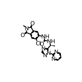 C[C@H](NC(=O)Nc1cc2c(cc1Cl)C(=O)N(C)C2=O)c1ncnn1-c1ncccn1